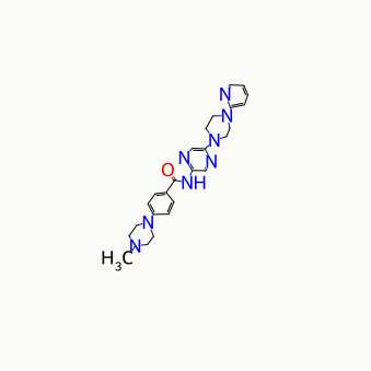 CN1CCN(c2ccc(C(=O)Nc3cnc(N4CCN(c5ccccn5)CC4)cn3)cc2)CC1